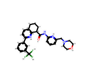 O=C(Nc1cccc(CN2CCOCC2)n1)C1CCCc2ccc(-c3cccc(C(F)(F)F)c3)nc21